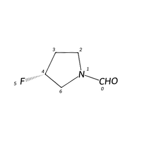 O=CN1CC[C@@H](F)C1